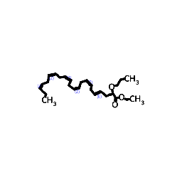 CC/C=C\C/C=C\C/C=C\C/C=C\C/C=C\C/C=C/CC(OCCC)C(=O)OCC